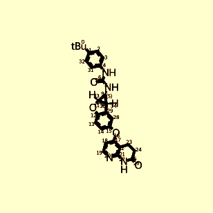 CC(C)(C)c1ccc(NC(=O)N[C@@H]2[C@H]3Oc4ccc(Oc5ccnc6c5CCC(=O)N6)cc4[C@@H]23)cc1